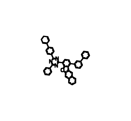 C1=CC(c2ccc(-c3nc(-c4ccccc4)nc(-c4ccc(-c5cccc(-c6ccccc6)c5)c5c4oc4cc6ccccc6cc45)n3)cc2)=CCC1